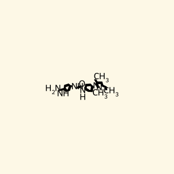 CCc1cc(CC)n(-c2ccc(NC(=O)CNc3ccc(C(=N)N)cc3)cc2C)n1